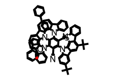 CC(C)(C)c1ccc2c(c1)c1cc(C(C)(C)C)c3c4ccccc4sc3c1n2-c1c(C#N)c(-n2c3ccccc3c3ccccc32)c(-n2c3ccc(-c4ccccc4)cc3c3ccc4c5ccccc5oc4c32)c(-n2c3ccccc3c3ccccc32)c1C#N